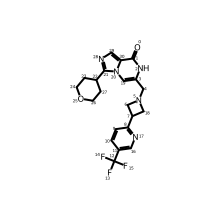 O=c1[nH]c(CN2CC(c3ccc(C(F)(F)F)cn3)C2)cn2c(C3CCOCC3)ncc12